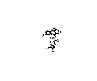 O=C(NC/C(F)=C1\COCc2cnn(-c3ccc(C(F)(F)F)cc3)c21)NSc1cc(Cl)c(Cl)s1